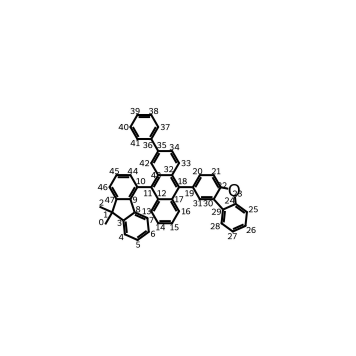 CC1(C)c2ccccc2-c2c(-c3c4ccccc4c(-c4ccc5oc6ccccc6c5c4)c4ccc(-c5ccccc5)cc34)cccc21